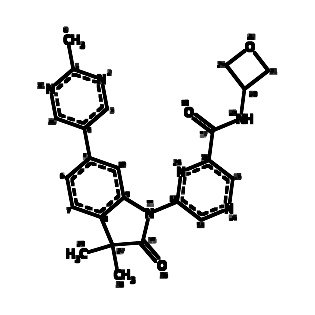 Cc1ncc(-c2ccc3c(c2)N(c2cncc(C(=O)NC4COC4)n2)C(=O)C3(C)C)cn1